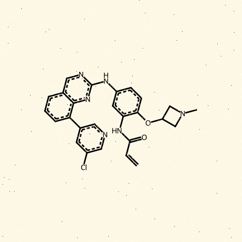 C=CC(=O)Nc1cc(Nc2ncc3cccc(-c4cncc(Cl)c4)c3n2)ccc1OC1CN(C)C1